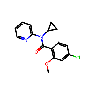 COc1cc(Cl)c[c]c1C(=O)N(c1ccccn1)C1CC1